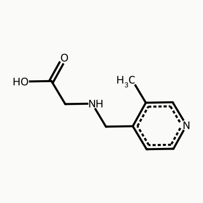 Cc1cnccc1CNCC(=O)O